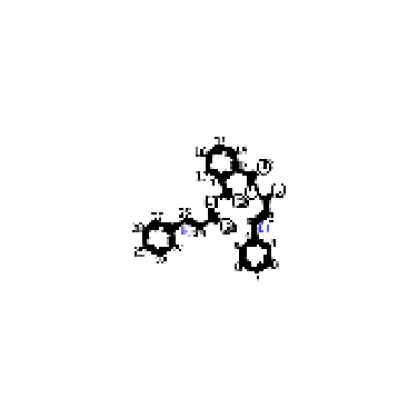 O=C(/C=C/c1ccccc1)OC(=O)c1ccccc1C(=O)OC(=O)/C=C/c1ccccc1